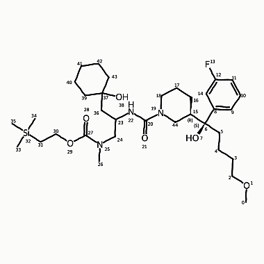 COCCCC[C@@](O)(c1cccc(F)c1)[C@@H]1CCCN(C(=O)NC(CN(C)C(=O)OCC[Si](C)(C)C)CC2(O)CCCCC2)C1